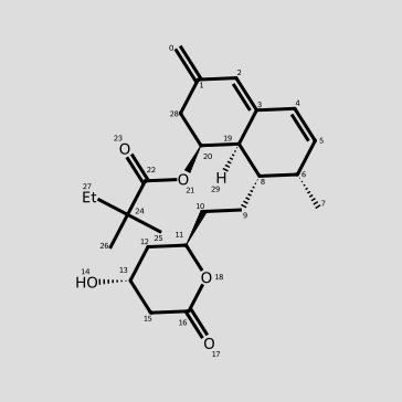 C=C1C=C2C=C[C@H](C)[C@H](CC[C@@H]3C[C@@H](O)CC(=O)O3)[C@H]2[C@@H](OC(=O)C(C)(C)CC)C1